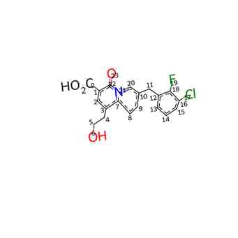 O=C(O)c1cc(CCO)c2ccc(Cc3cccc(Cl)c3F)cn2c1=O